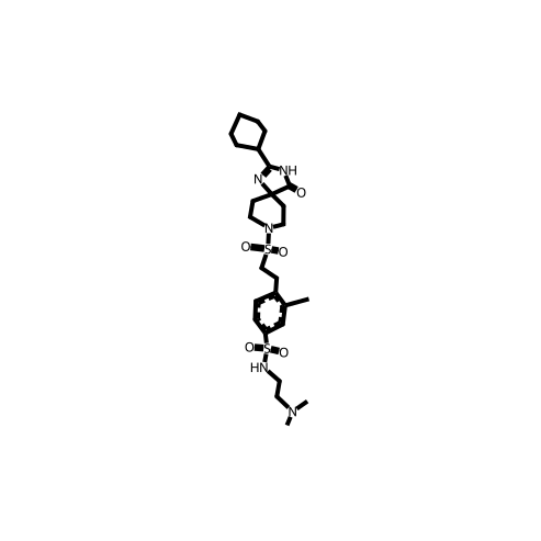 Cc1cc(S(=O)(=O)NCCN(C)C)ccc1CCS(=O)(=O)N1CCC2(CC1)N=C(C1CCCCC1)NC2=O